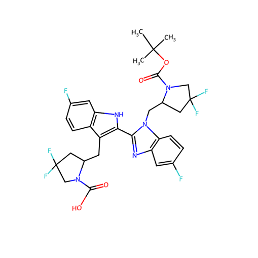 CC(C)(C)OC(=O)N1CC(F)(F)CC1Cn1c(-c2[nH]c3cc(F)ccc3c2CC2CC(F)(F)CN2C(=O)O)nc2cc(F)ccc21